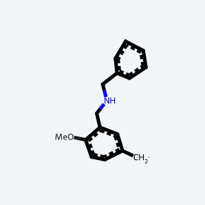 [CH2]c1ccc(OC)c(CNCc2ccccc2)c1